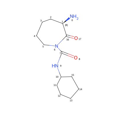 N[C@@H]1CCCCN(C(=O)NC2CCCCC2)C1=O